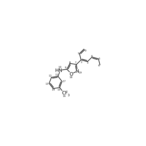 C=C/C(=C\C=C/C)c1cc(Nc2cccc(C(F)(F)F)c2)on1